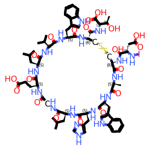 CC(C)C[C@@H]1NC(=O)[C@H](Cc2c[nH]cn2)NC(=O)[C@H](Cc2c[nH]c3ccccc23)NC(=O)[C@H](C)NC(=O)[C@@H](NC(O)[C@H](CC(=O)O)NI)CSSC[C@@H](C(=O)N[C@H](C(=O)O)[C@@H](C)O)NC(=O)[C@H](Cc2c[nH]c3ccccc23)NC(=O)[C@H](C(C)C)NC(=O)[C@H](CC(C)C)NC(=O)[C@H](CCC(=O)O)NC(=O)CNC1=O